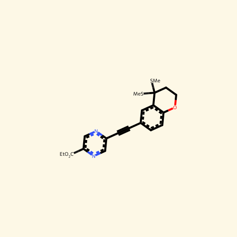 CCOC(=O)c1cnc(C#Cc2ccc3c(c2)C(SC)(SC)CCO3)cn1